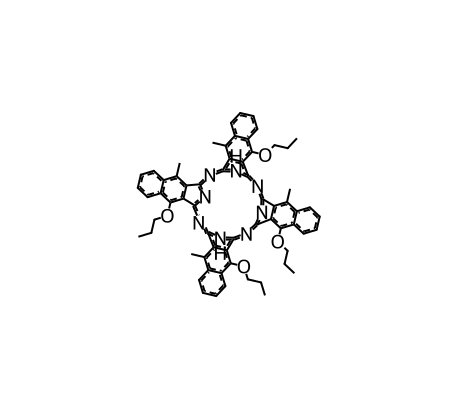 CCCOc1c2c(c(C)c3ccccc13)-c1nc-2nc2[nH]c(nc3nc(nc4[nH]c(n1)c1c(C)c5ccccc5c(OCCC)c41)-c1c-3c(OCCC)c3ccccc3c1C)c1c(OCCC)c3ccccc3c(C)c21